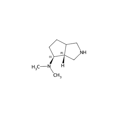 CN(C)[C@H]1CCC2CNC[C@@H]21